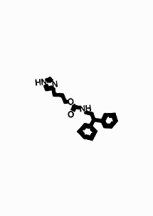 O=C(NCCC(c1ccccc1)c1ccccc1)OCCCc1c[nH]cn1